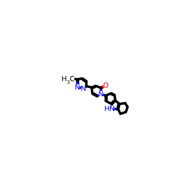 Cc1ccc(-c2ccn(-c3ccc4c5c([nH]c4c3)CCCC5)c(=O)c2)nn1